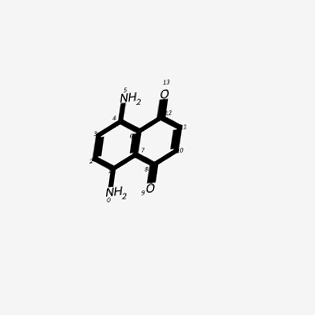 NC1C=CC(N)C2=C1C(=O)C=CC2=O